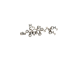 CCC(C)(CC(C)(C)C(=O)OC(C)(C)C)C(=O)OCCN(C)C